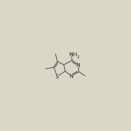 CC1=NC2SC(C)=C(C)C2C(N)=N1